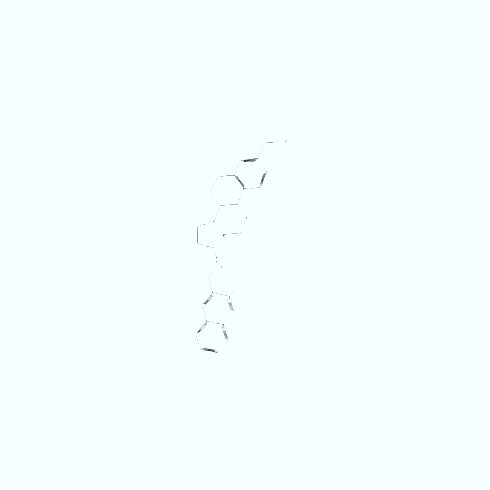 C[C@]12CCC3c4ccc(CO)cc4CCC3C1CC[C@@H]2NCc1cc2ccccc2cc1O